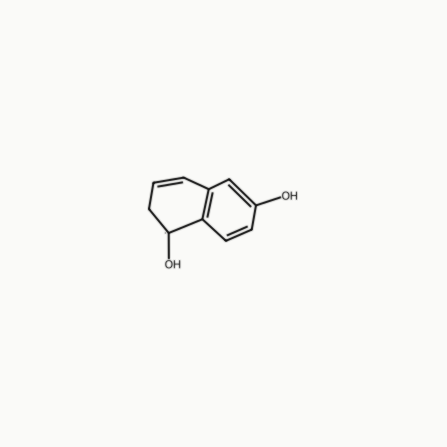 O[C]1CC=Cc2cc(O)ccc21